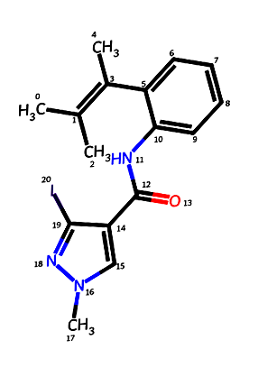 CC(C)=C(C)c1ccccc1NC(=O)c1cn(C)nc1I